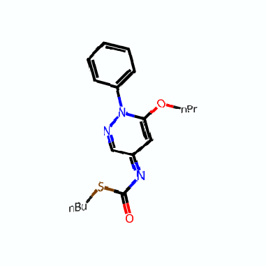 CCCCSC(=O)N=c1cnn(-c2ccccc2)c(OCCC)c1